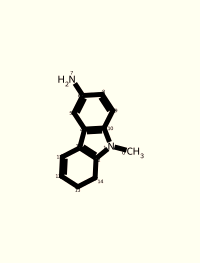 Cn1c2c(c3cc(N)ccc31)C=CCC2